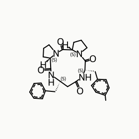 Cc1ccc(C[C@@H]2NC(=O)C[C@H](Cc3ccccc3)NC(=O)[C@@H]3CCCN3C(=O)[C@@H]3CCCN3C2=O)cc1